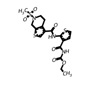 CCOC(=O)NC(=O)c1ccsc1NC(=O)c1csc2c1CCN(S(C)(=O)=O)C2